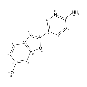 Nc1ccc(-c2nc3ccc(O)cc3o2)cn1